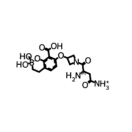 N[C@H](CC([NH3+])=O)C(=O)N1CC(Oc2ccc3c(c2C(=O)O)O[B-](O)(O)CC3)C1